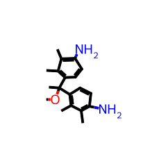 COC(C)(c1ccc(N)c(C)c1C)c1ccc(N)c(C)c1C